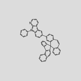 C1=Cc2ccc(-c3ccc4c(c3)c3cccnc3n4-c3ccccc3)cc2C2(c3ccccc31)c1ccccc1-c1c2ccc2ccccc12